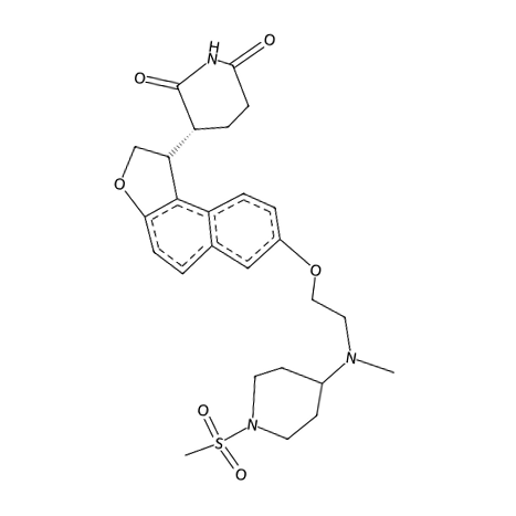 CN(CCOc1ccc2c3c(ccc2c1)OCC3[C@H]1CCC(=O)NC1=O)C1CCN(S(C)(=O)=O)CC1